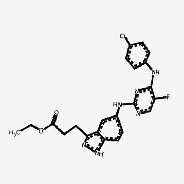 CCOC(=O)CCc1n[nH]c2ccc(Nc3ncc(F)c(Nc4ccc(Cl)cc4)n3)cc12